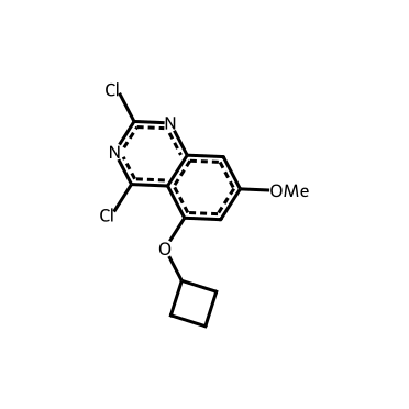 COc1cc(OC2CCC2)c2c(Cl)nc(Cl)nc2c1